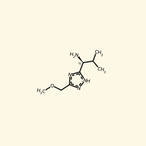 COCc1n[nH]c([C@@H](N)C(C)C)n1